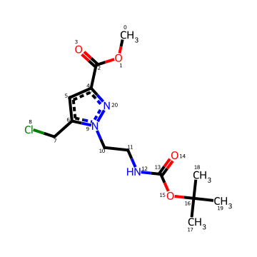 COC(=O)c1cc(CCl)n(CCNC(=O)OC(C)(C)C)n1